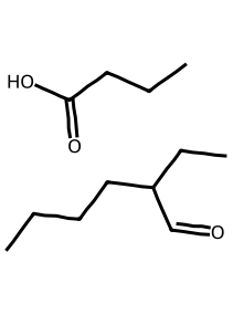 CCCC(=O)O.CCCCC(C=O)CC